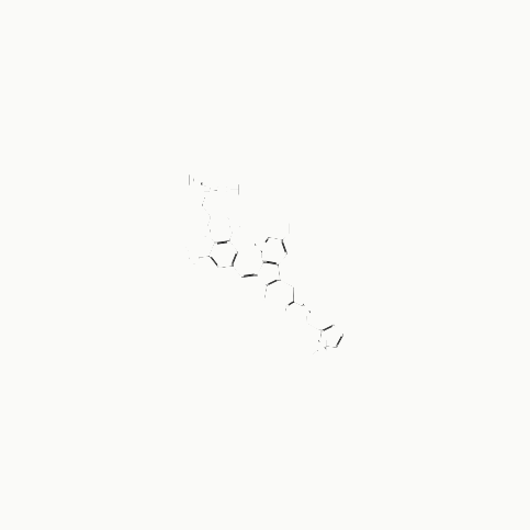 COc1cc(C=C2C(C)=C(CC(=O)NCc3cccn3C)c3cc(F)cnc32)cc(OC)c1OCCB(O)O